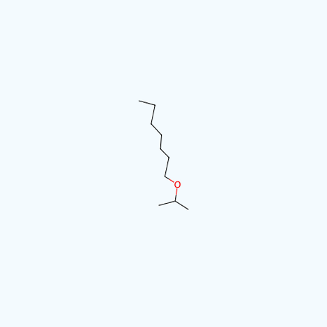 CCCCCCCOC(C)C